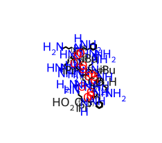 CC[C@H](C)[C@H](NC(=O)[C@H](CCCNC(=N)N)NC(=O)[C@H](CCC(N)=O)NC(=O)[C@@H](NC(=O)[C@@H](NC(=O)[C@H](CCCNC(=N)N)NC(=O)[C@H](CCCCN)NC(=O)[C@@H](N)Cc1ccccc1)[C@@H](C)CC)C(C)C)C(=O)N[C@@H](CCCCN)C(=O)N[C@@H](CC(=O)O)C(=O)N[C@@H](Cc1ccccc1)C(=O)N[C@@H](CC(C)C)C(=O)N[C@@H](CCCNC(=N)N)C(=O)O